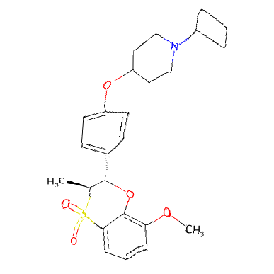 COc1cccc2c1O[C@@H](c1ccc(OC3CCN(C4CCC4)CC3)cc1)[C@H](C)S2(=O)=O